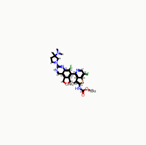 CN(C)C1(C)CCN(c2ncc3c4c(c(-c5ncc(F)c6sc(NC(=O)OC(C)(C)C)c(C#N)c56)c(F)c3n2)COC4)C1